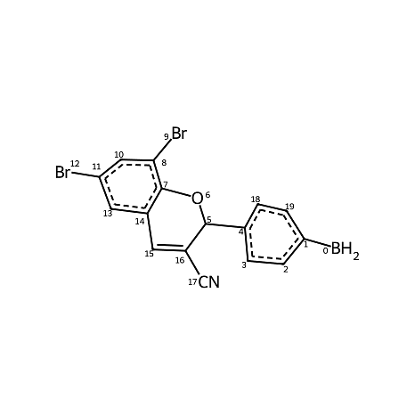 Bc1ccc(C2Oc3c(Br)cc(Br)cc3C=C2C#N)cc1